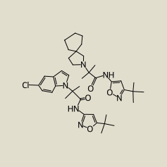 CC(C)(C)c1cc(NC(=O)C(C)(C)N2CCC3(CCCCC3)C2)on1.CC(C)(C)c1cc(NC(=O)C(C)(C)n2ccc3cc(Cl)ccc32)no1